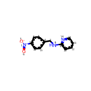 O=[N+]([O-])c1ccc(CNc2ccccn2)cc1